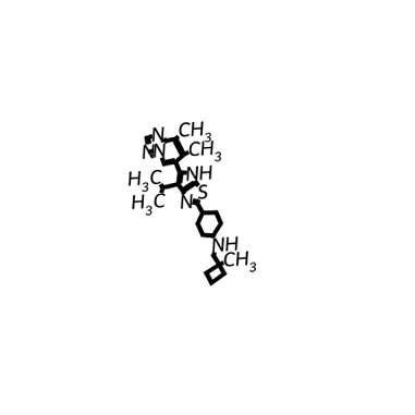 Cc1c(-c2[nH]c3sc(C4CCC(NCC5(C)CCC5)CC4)nc3c2C(C)C)cn2ncnc2c1C